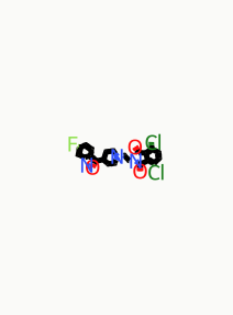 O=C1c2c(Cl)ccc(Cl)c2C(=O)N1CCN1CCC(c2onc3cc(F)ccc23)CC1